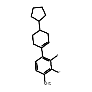 O=Cc1ccc(C2=CCC(C3CCCC3)CC2)c(F)c1F